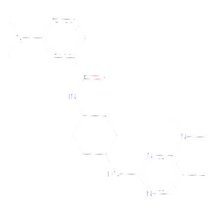 Cc1cnc(NC2CCC(NC(=O)c3cccc(N(C)C)c3)CC2)nc1N(C)C